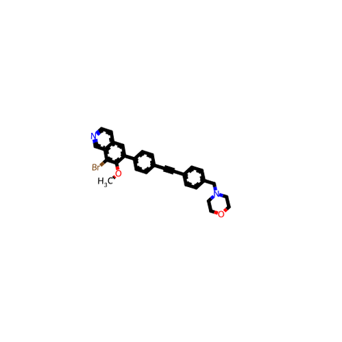 COc1c(-c2ccc(C#Cc3ccc(CN4CCOCC4)cc3)cc2)cc2ccncc2c1Br